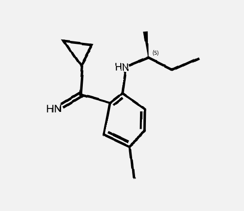 CC[C@H](C)Nc1ccc(C)cc1C(=N)C1CC1